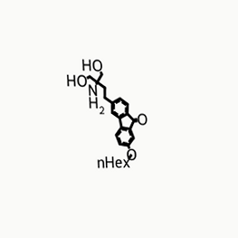 CCCCCCOc1ccc2c(c1)C(=O)c1ccc(CCC(N)(CO)CO)cc1-2